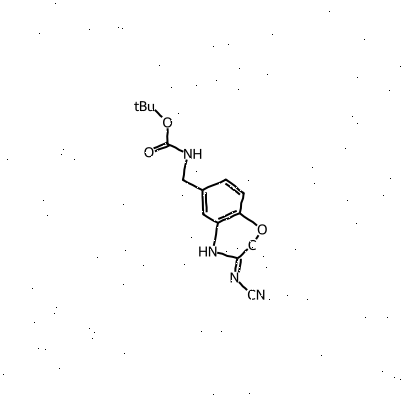 CC(C)(C)OC(=O)NCc1ccc2c(c1)N/C(=N/C#N)CO2